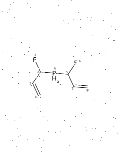 C=CC(F)[PH3]C(F)C=C